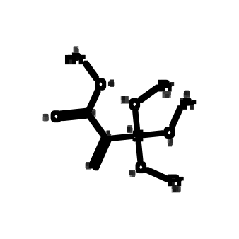 C=C(C(=O)OCCC)[Si](OC(C)C)(OC(C)C)OC(C)C